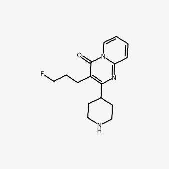 O=c1c(CCCF)c(C2CCNCC2)nc2ccccn12